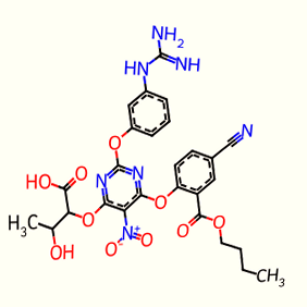 CCCCOC(=O)c1cc(C#N)ccc1Oc1nc(Oc2cccc(NC(=N)N)c2)nc(OC(C(=O)O)C(C)O)c1[N+](=O)[O-]